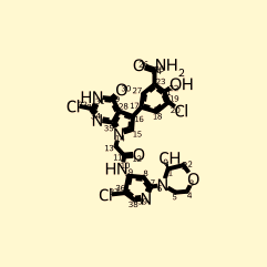 C[C@H]1COCCN1c1cc(NC(=O)Cn2cc(-c3cc(Cl)c(O)c(C(N)=O)c3)c3c(=O)[nH]c(Cl)nc32)c(Cl)cn1